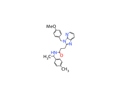 COc1ccc(Cn2c(CCC(=O)NC(C)c3ccc(C)cc3)nc3cccnc32)cc1